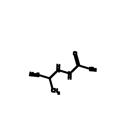 CSC(C)NNC(=O)C(C)(C)C